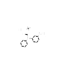 CC(C)(C)OC(=O)N(c1ccccc1)c1cccc(N)c1